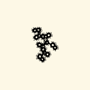 c1ccc2cc(-c3cc(-n4c5ccccc5c5cc6c(cc54)c4ccccc4n6-c4cccc5ccccc45)nc(-n4c5ccccc5c5cc6c(cc54)c4ccccc4n6-c4cccc5ccccc45)c3)ccc2c1